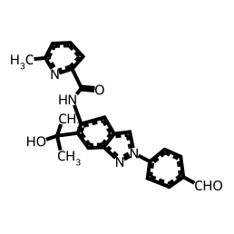 Cc1cccc(C(=O)Nc2cc3cn(-c4ccc(C=O)cc4)nc3cc2C(C)(C)O)n1